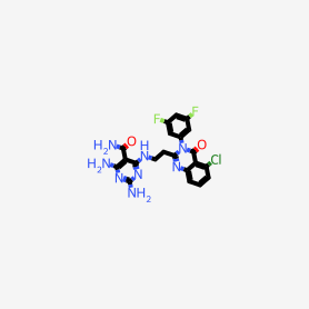 NC(=O)c1c(N)nc(N)nc1NCCc1nc2cccc(Cl)c2c(=O)n1-c1cc(F)cc(F)c1